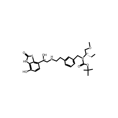 CC[C@@H](COC)N(Cc1cccc(CCNC[C@H](O)c2ccc(O)c3[nH]c(=O)sc23)c1)C(=O)OC(C)(C)C